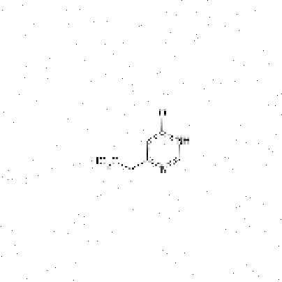 O=C(O)Cc1cc(=O)[nH]cn1